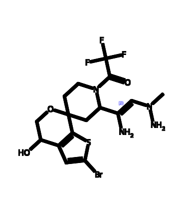 CN(N)/C=C(\N)C1CC2(CCN1C(=O)C(F)(F)F)OCC(O)c1cc(Br)sc12